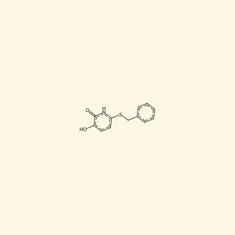 O=c1[nH]c(SCc2ccccc2)ccc1O